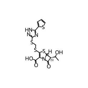 CC(O)[C@H]1C(=O)N2C(C(=O)O)=C(SCSc3n[nH]c(-c4cccs4)n3)S[C@H]12